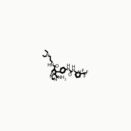 CCN(CC)CCCNC(=O)c1cn2ncnc(N)c2c1-c1ccc(NC(=O)Nc2cccc(C(F)(F)F)n2)cc1